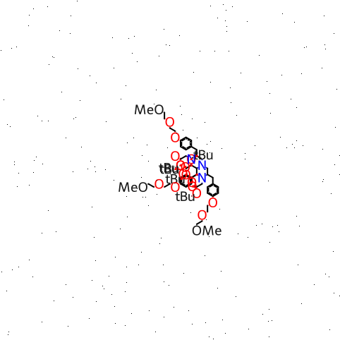 COCCOCCOc1ccc(CC(CN(CC(Cc2ccc(OCCOCCOC)cc2)N(CC(=O)OC(C)(C)C)CC(=O)OC(C)(C)C)C(Cc2ccc(OCCOCCOC)cc2)C(=O)OC(C)(C)C)N(CC(=O)OC(C)(C)C)CC(=O)OC(C)(C)C)cc1